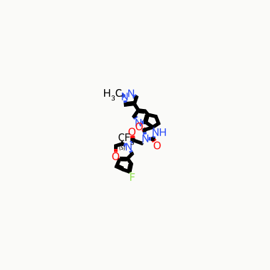 Cn1cc(-c2cnc3c(c2)CCC32NC(=O)N(CC(=O)N3Cc4cc(F)ccc4OC[C@H]3C(F)(F)F)C2=O)cn1